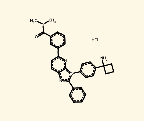 CN(C)C(=O)c1cccc(-c2ccc3nc(-c4ccccc4)n(-c4ccc(C5(N)CCC5)cc4)c3n2)c1.Cl